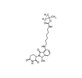 CC(C)(C)OC(=O)NCCCCCCNc1cccc2c1C(=O)N(C1CCC(=O)NC1=O)C2O